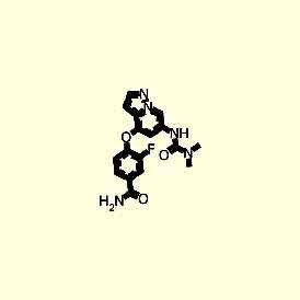 CN(C)C(=O)Nc1cc(Oc2ccc(C(N)=O)cc2F)c2ccnn2c1